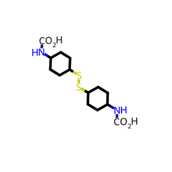 O=C(O)NC1CCC(SSC2CCC(NC(=O)O)CC2)CC1